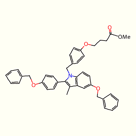 COC(=O)CCCOc1ccc(Cn2c(-c3ccc(OCc4ccccc4)cc3)c(C)c3cc(OCc4ccccc4)ccc32)cc1